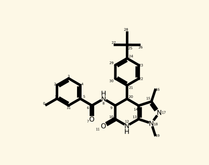 Cc1cccc(C(=O)NC2C(=O)Nc3c(c(C)nn3C)C2c2ccc(C(C)(C)C)cc2)c1